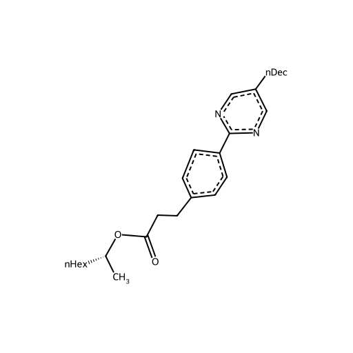 CCCCCCCCCCc1cnc(-c2ccc(CCC(=O)O[C@H](C)CCCCCC)cc2)nc1